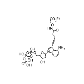 CCOC(=O)CONC(=O)CCC#Cc1cn(C2CC(O)C(COP(=O)(O)OP(=O)(O)OP(=O)(O)O)O2)c2cccc(N)c12